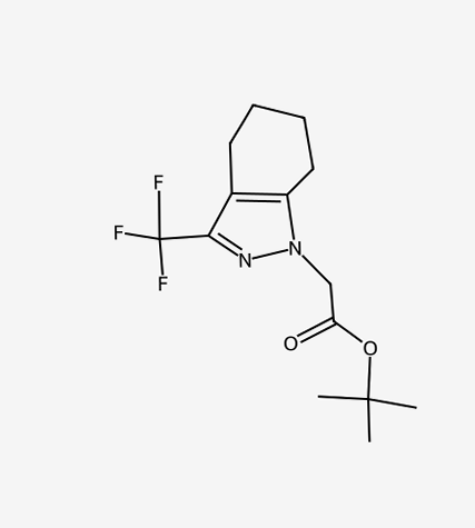 CC(C)(C)OC(=O)Cn1nc(C(F)(F)F)c2c1CCCC2